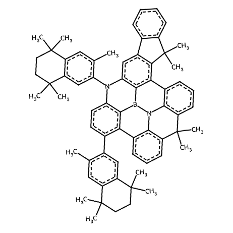 Cc1cc2c(cc1-c1ccc3c4c1-c1cccc5c1N1B4c4c(cc6c(c4-c4cccc(c41)C5(C)C)C(C)(C)c1ccccc1-6)N3c1cc3c(cc1C)C(C)(C)CCC3(C)C)C(C)(C)CCC2(C)C